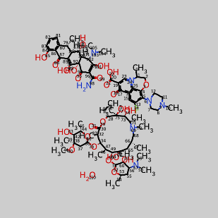 CC1COc2c(N3CCN(C)CC3)c(F)cc3c(=O)c(C(=O)O)cn1c23.CC[C@H]1OC(=O)[C@H](C)[C@@H](O[C@H]2C[C@@](C)(OC)[C@@H](O)[C@H](C)O2)[C@H](C)[C@@H](O[C@@H]2O[C@H](C)C[C@H](N(C)C)[C@H]2O)[C@](C)(O)C[C@@H](C)CN(C)[C@H](C)[C@@H](O)[C@]1(C)O.C[C@H]1c2cccc(O)c2C(=O)C2=C(O)[C@]3(O)C(=O)C(C(N)=O)=C(O)[C@@H](N(C)C)[C@@H]3[C@@H](O)[C@@H]21.O